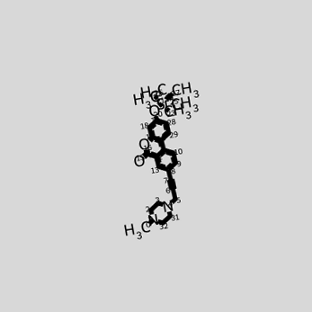 CN1CCN(CC#Cc2ccc3c(c2)c(=O)oc2cc(O[Si](C)(C)C(C)(C)C)ccc23)CC1